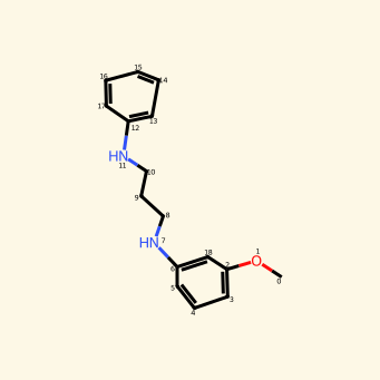 COc1cccc(NCCCNc2ccccc2)c1